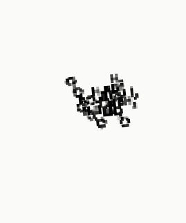 Bc1c(B)c(B)c2c(c1B)c1c(B)c(-c3ccc4c(c3)c3c(-c5ccc(-c6ccccc6)cc5)cccc3n4-c3ccc(-c4ccccc4)cc3)c(B)c(B)c1n2-c1ccc(-c2ccccc2)cc1